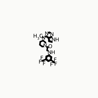 CN(c1ncnc2[nH]ccc12)[C@@H]1CCCN(C(=O)CNc2cc(C(F)(F)F)cc(C(F)(F)F)c2)C1